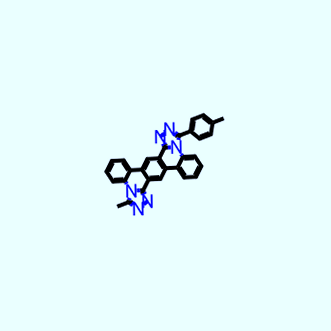 Cc1ccc(-c2nnc3c4cc5c6ccccc6n6c(C)nnc6c5cc4c4ccccc4n23)cc1